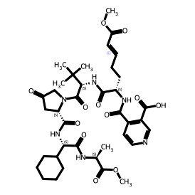 COC(=O)/C=C/CC[C@H](NC(=O)c1ccncc1C(=O)O)C(=O)N[C@H](C(=O)N1CC(=O)C[C@H]1C(=O)N[C@H](C(=O)N[C@@H](C)C(=O)OC)C1CCCCC1)C(C)(C)C